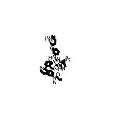 C=CC(=O)Nc1ccc2c(-c3ccccc3CNc3nc(Nc4cccc(OC5CCC(C)(C)NC5)c4)nc4c(C(C)C)cnn34)nccc2c1